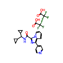 O=C(NC(C1CC1)C1CC1)c1nc(-c2ccncc2)c2ccccn12.O=C(O)C(F)(F)F.O=C(O)C(F)(F)F